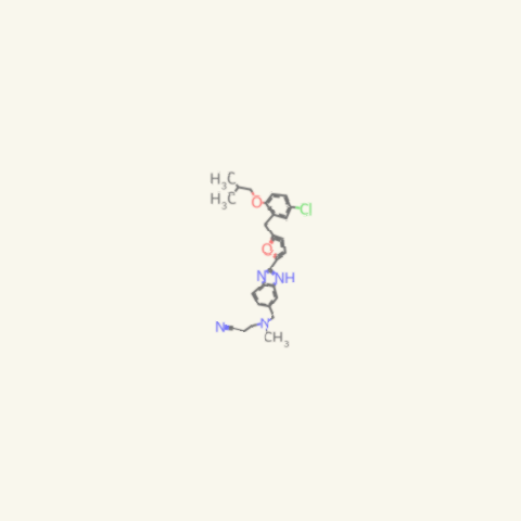 CC(C)COc1ccc(Cl)cc1Cc1ccc(-c2nc3ccc(CN(C)CCC#N)cc3[nH]2)o1